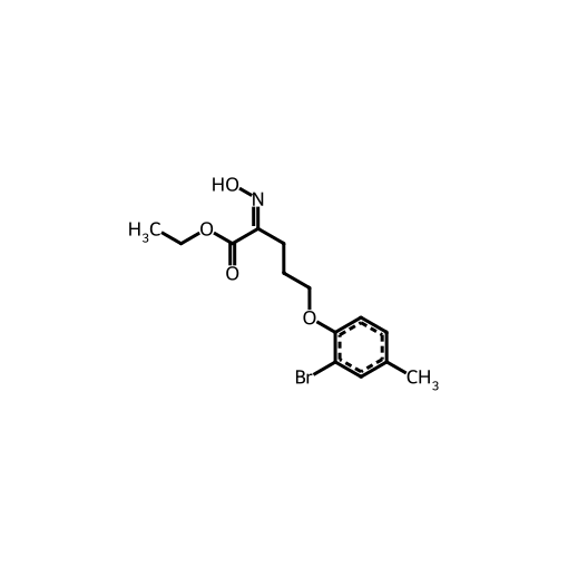 CCOC(=O)/C(CCCOc1ccc(C)cc1Br)=N\O